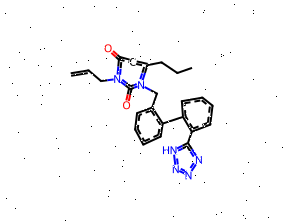 C=CCn1c(=O)cc(CCC)n(Cc2ccccc2-c2ccccc2-c2nnn[nH]2)c1=O